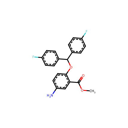 COC(=O)c1cc(N)ccc1OC(c1ccc(F)cc1)c1ccc(F)cc1